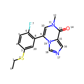 CCSc1ccc(F)c(-c2cn(C)c(=O)c3cncn23)c1